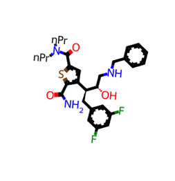 CCCN(CCC)C(=O)c1cc([C@H](Cc2cc(F)cc(F)c2)[C@@H](O)CNCc2ccccc2)c(C(N)=O)s1